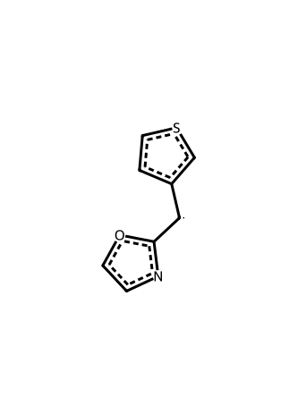 [CH](c1ccsc1)c1ncco1